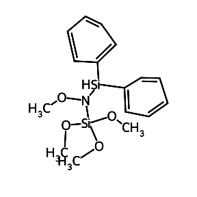 CON([SiH](c1ccccc1)c1ccccc1)[Si](OC)(OC)OC